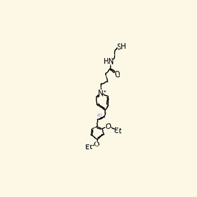 CCOc1ccc(/C=C/c2cc[n+](CCCC(=O)NCCS)cc2)c(OCC)c1